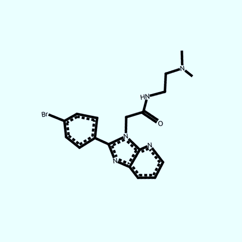 CN(C)CCNC(=O)Cn1c(-c2ccc(Br)cc2)nc2cccnc21